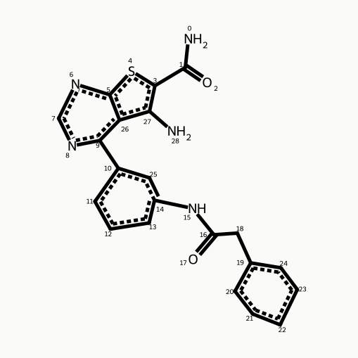 NC(=O)c1sc2ncnc(-c3cccc(NC(=O)Cc4ccccc4)c3)c2c1N